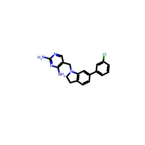 Nc1ncc(CN2CCc3ccc(-c4cccc(Cl)c4)cc32)c(N)n1